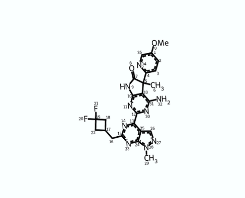 COc1ccc(C2(C)C(=O)Nc3nc(-c4nc(CC5CC(F)(F)C5)nc5c4cnn5C)nc(N)c32)nc1